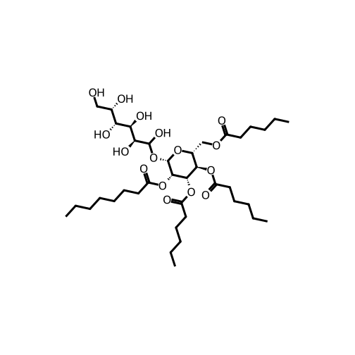 CCCCCCCC(=O)O[C@@H]1[C@H](OC(O)[C@@H](O)[C@H](O)[C@H](O)[C@@H](O)CO)O[C@H](COC(=O)CCCCC)[C@@H](OC(=O)CCCCC)[C@@H]1OC(=O)CCCCC